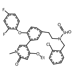 CCOc1cc(=O)n(C)cc1-c1cc(CCN(Cc2ccccc2Cl)[SH](=O)=O)ccc1Oc1ccc(F)cc1F